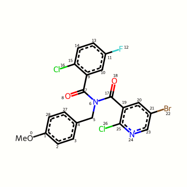 COc1ccc(CN(C(=O)c2cc(F)ccc2Cl)C(=O)c2cc(Br)cnc2Cl)cc1